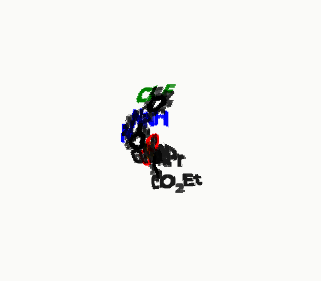 CCCC(CCC(=O)OCC)S(=O)(=O)c1cc2c(Nc3ccc(F)c(Cl)c3)ncnc2cc1OC